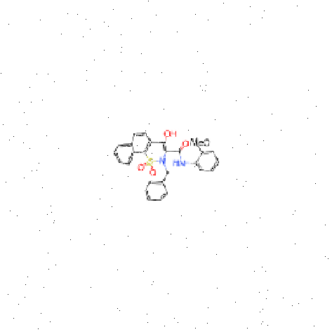 COc1ccccc1NC(=O)C1=C(O)c2ccc3ccccc3c2S(=O)(=O)N1Cc1ccccc1